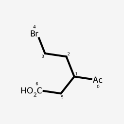 CC(=O)C(CCBr)CC(=O)O